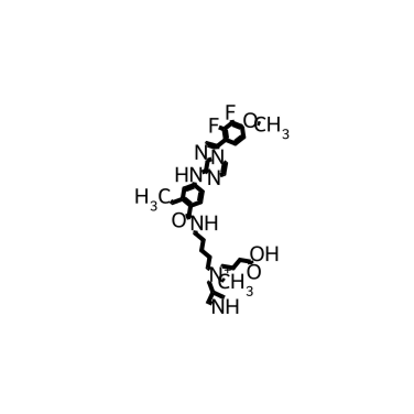 CCc1cc(Nc2nccn3c(-c4ccc(OC)c(F)c4F)cnc23)ccc1C(=O)NCCCCC[N+](C)(CCCC(=O)O)CC1CNC1